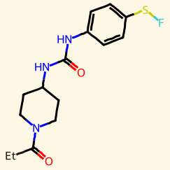 CCC(=O)N1CCC(NC(=O)Nc2ccc(SF)cc2)CC1